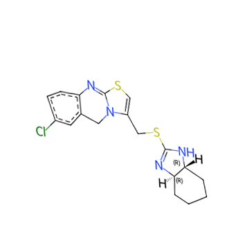 Clc1ccc2c(c1)CN1C(CSC3=N[C@@H]4CCCC[C@H]4N3)=CSC1=N2